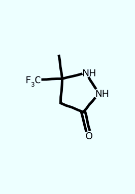 CC1(C(F)(F)F)CC(=O)NN1